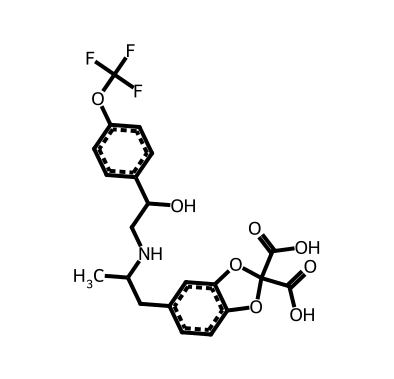 CC(Cc1ccc2c(c1)OC(C(=O)O)(C(=O)O)O2)NCC(O)c1ccc(OC(F)(F)F)cc1